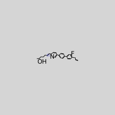 C=CCc1ccc(-c2ccc(-c3ccc(/C=C/CCCC(C)O)nc3)cc2)cc1F